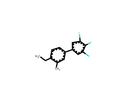 CCc1ccc(-c2cc(F)c(F)c(F)c2)cc1C